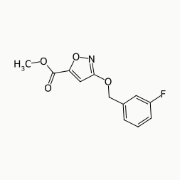 COC(=O)c1cc(OCc2cccc(F)c2)no1